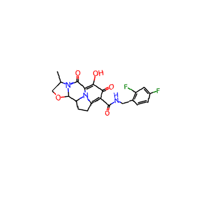 CC1COC2C3CCc4c(C(=O)NCc5ccc(F)cc5F)c(=O)c(O)c(n43)C(=O)N12